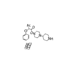 CC(=O)C(Oc1ccccc1)C(=O)ON1CCN(C2CCNCC2)CC1.Cl.Cl.Cl